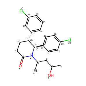 CCC(CC(C)O)N1C(=O)CC[C@H](c2cccc(Cl)c2)[C@H]1c1ccc(Cl)cc1